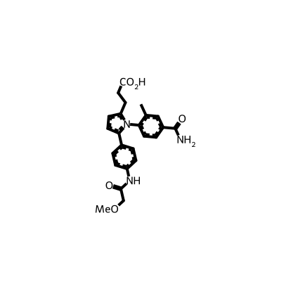 COCC(=O)Nc1ccc(-c2ccc(CCC(=O)O)n2-c2ccc(C(N)=O)cc2C)cc1